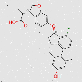 Cc1cc(O)cc(C)c1-c1ccc(F)c2c1CC[C@H]2Oc1ccc2c(c1)OC[C@H]2C(C)C(=O)O